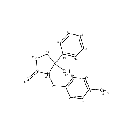 Cc1ccc(CN2C(=S)SCC2(O)c2ccccc2)cc1